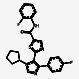 O=C(Nc1ccccc1F)c1cnc(-c2c(-c3ccc(F)cc3)ncn2C2CCCC2)s1